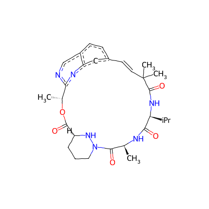 CC(C)[C@@H]1NC(=O)C(C)(C)/C=C/c2ccc3cnc(nc3c2)[C@@H](C)OC(=O)[C@@H]2CCCN(N2)C(=O)[C@H](C)NC1=O